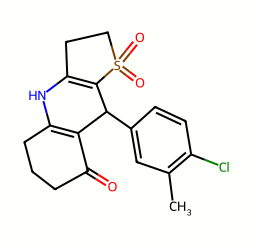 Cc1cc(C2C3=C(CCCC3=O)NC3=C2S(=O)(=O)CC3)ccc1Cl